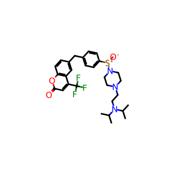 CC(C)N(CCN1CCN([S+]([O-])c2ccc(Cc3ccc4oc(=O)cc(C(F)(F)F)c4c3)cc2)CC1)C(C)C